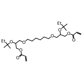 C=CC(=O)OCC(COCCCCCCOCC(COC(=O)C=C)OC(C)(C)CC)OC(C)(C)CC